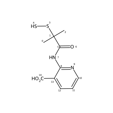 CC(C)(SS)C(=O)Nc1ncccc1C(=O)O